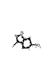 O=[N+]([O-])c1ccc2c(I)n[nH]c2c1